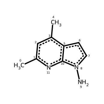 Cc1cc(C)c2ccn(N)c2n1